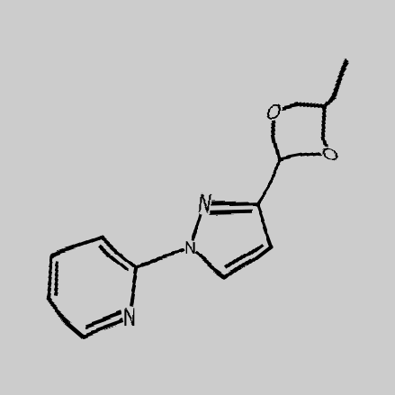 CC1OC(c2ccn(-c3ccccn3)n2)O1